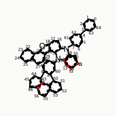 c1ccc(-c2ccc(N(c3ccccc3)c3ccc4oc5c6ccccc6ccc5c4c3N(c3ccccc3)c3ccc(-c4ccccc4)c(-c4cccc5ccccc45)c3)cc2)cc1